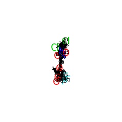 CCCc1c(OCCCCCN2C(=O)CN(c3ccc(Cl)cc3Cl)C2=O)ccc2c(C(F)(F)F)cc(=O)oc12